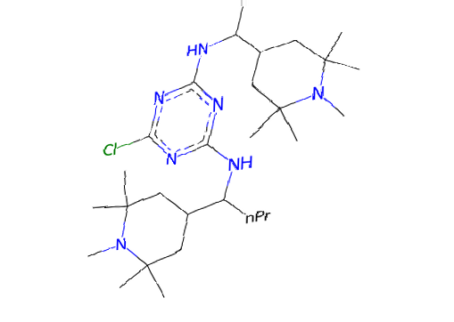 CCCC(Nc1nc(Cl)nc(NC(CCC)C2CC(C)(C)N(C)C(C)(C)C2)n1)C1CC(C)(C)N(C)C(C)(C)C1